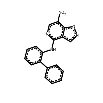 O=[N+]([O-])c1cnc(Nc2ccccc2-c2ccccc2)c2cnoc12